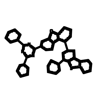 c1ccc(-c2nc(-c3ccccc3)nc(-c3ccc4c(c3)oc3cccc(-c5cc(-c6ccccc6)c6sc7ccccc7c6c5)c34)n2)cc1